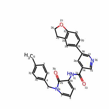 Cc1ccc(Cn2cccc(NC(=O)c3cncc(-c4ccc5c(c4)CCO5)c3)c2=O)cc1